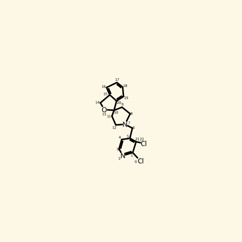 Clc1nccc(CN2CCC3(CC2)OCc2ccccc23)c1Cl